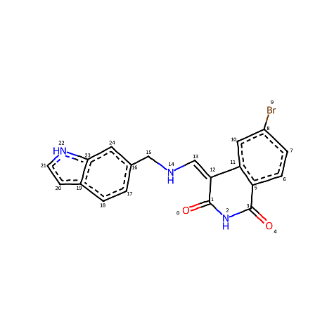 O=C1NC(=O)c2ccc(Br)cc2/C1=C/NCc1ccc2cc[nH]c2c1